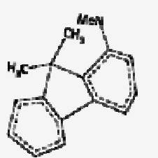 CNc1cccc2c1C(C)(C)c1ccccc1-2